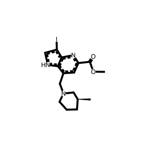 COC(=O)c1cc(CN2CCC[C@H](C)C2)c2[nH]cc(I)c2n1